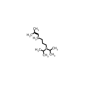 CC(C)=C[SiH2]CCCN(C(C)C)C(C)C